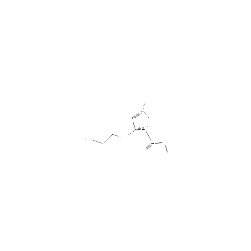 COC(=O)c1sc(I)cc1SCCO